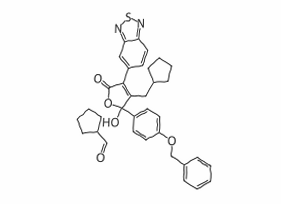 O=C1OC(O)(c2ccc(OCc3ccccc3)cc2)C(CC2CCCC2)=C1c1ccc2nsnc2c1.O=CC1CCCC1